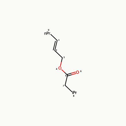 CCCC=CCOC(=O)CC(C)C